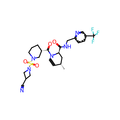 C[C@@H]1C#CN(C(=O)[C@H]2CCCN(S(=O)(=O)N3CC(C#N)C3)C2)[C@@H](C(=O)NCc2ccc(C(F)(F)F)cn2)C1